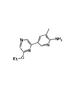 CCOc1cncc(-c2cnc(N)c(C)c2)n1